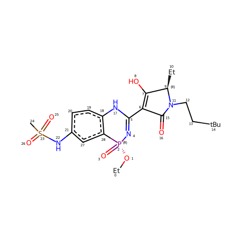 CCO[P@@]1(=O)N=C(C2=C(O)[C@@H](CC)N(CCC(C)(C)C)C2=O)Nc2ccc(NS(C)(=O)=O)cc21